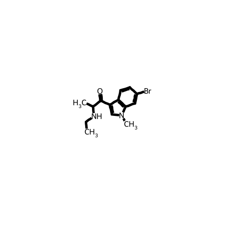 CCNC(C)C(=O)c1cn(C)c2cc(Br)ccc12